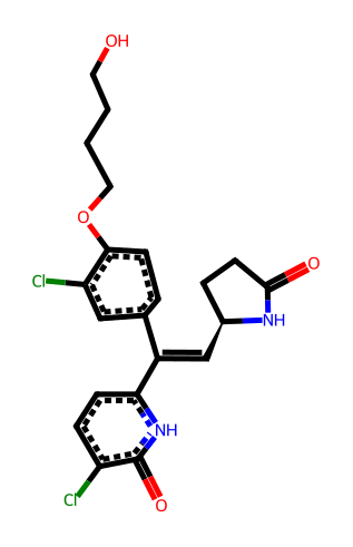 O=C1CC[C@H](/C=C(\c2ccc(OCCCCO)c(Cl)c2)c2ccc(Cl)c(=O)[nH]2)N1